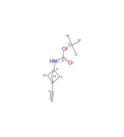 C#CC12CC(NC(=O)OC(C)(C)C)(C1)C2